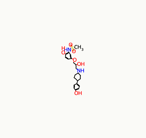 CS(=O)(=O)Nc1cc(OC[C@@H](O)CNC2CCC(c3ccc(O)cc3)CC2)ccc1O